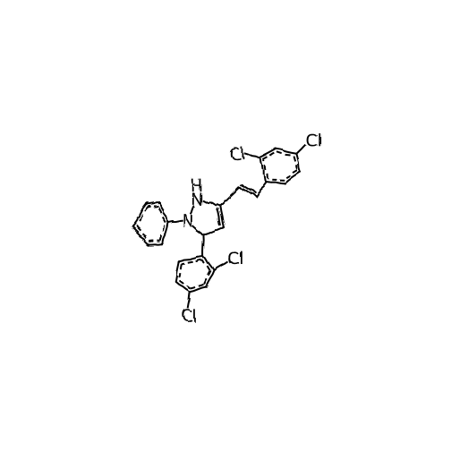 Clc1ccc(C=CC2=CC(c3ccc(Cl)cc3Cl)N(c3ccccc3)N2)c(Cl)c1